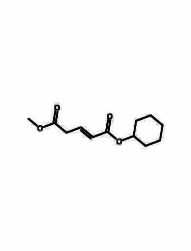 COC(=O)C/C=C/C(=O)OC1CCCCC1